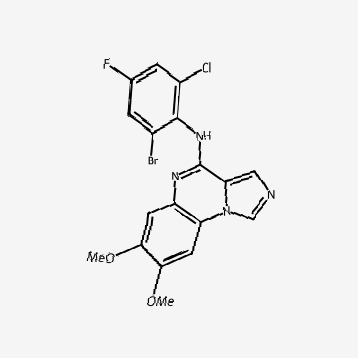 COc1cc2nc(Nc3c(Cl)cc(F)cc3Br)c3cncn3c2cc1OC